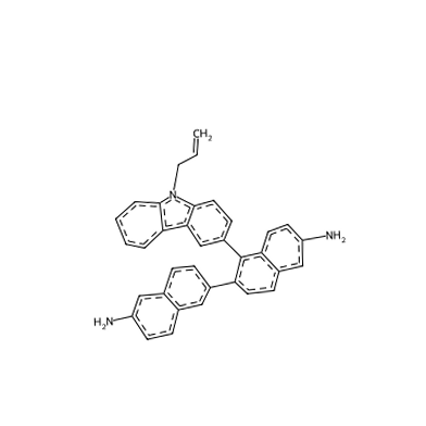 C=CCn1c2ccccc2c2cc(-c3c(-c4ccc5cc(N)ccc5c4)ccc4cc(N)ccc34)ccc21